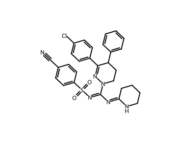 N#Cc1ccc(S(=O)(=O)/N=C(/N=C2\CCCCN2)N2CCC(c3ccccc3)C(c3ccc(Cl)cc3)=N2)cc1